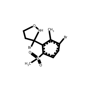 Cc1c(Br)ccc(S(C)(=O)=O)c1C1(Br)CCON1